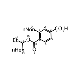 CCCCCCCCCc1cc(C(=O)O)ccc1C(=O)OC(CC)CCCCCC